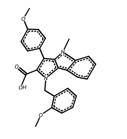 COc1ccc(-c2c(C(=O)O)n(Cc3ccccc3OC)c3c4ccccc4n(C)c23)cc1